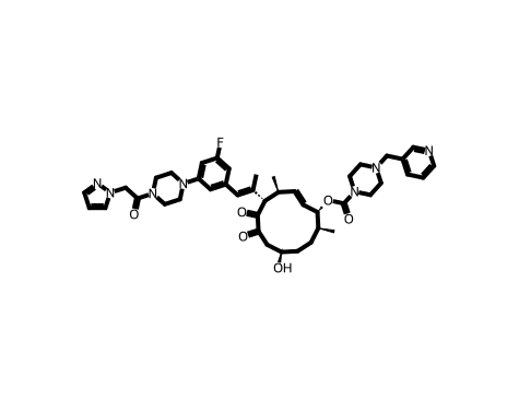 C/C(=C\c1cc(F)cc(N2CCN(C(=O)Cn3cccn3)CC2)c1)[C@H]1C(=O)C(=O)C[C@H](O)CC[C@H](C)[C@@H](OC(=O)N2CCN(Cc3cccnc3)CC2)/C=C/[C@@H]1C